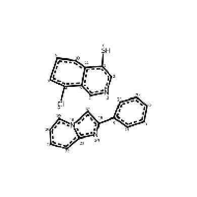 Sc1cncc2c(Cl)cccc12.c1ccc(-c2cn3ccccc3n2)cc1